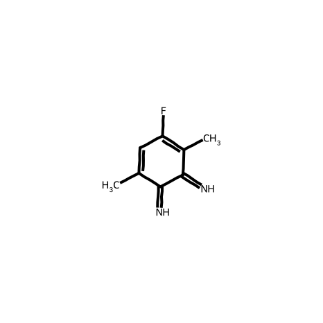 CC1=CC(F)=C(C)C(=N)C1=N